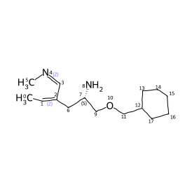 C/C=C(\C=N/C)C[C@H](N)COCC1CCCCC1